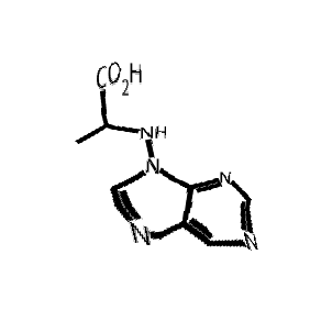 CC(Nn1cnc2cncnc21)C(=O)O